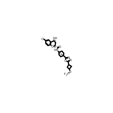 O=C(NC12CCC(c3nnc(C4CC(OC(F)(F)F)C4)o3)(CC1)OC2)[C@H]1C[C@@H](O)c2cc(Cl)ccc2O1